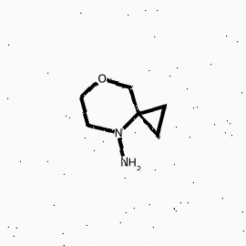 NN1CCOCC12CC2